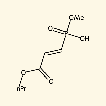 CCCOC(=O)C=CP(=O)(O)OC